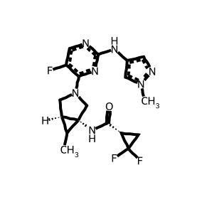 CC1[C@H]2CN(c3nc(Nc4cnn(C)c4)ncc3F)C[C@@]12NC(=O)[C@@H]1CC1(F)F